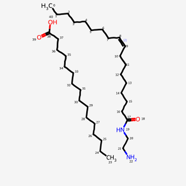 CCCCCCCC/C=C\CCCCCCCC(=O)NCCN.CCCCCCCCCCCCCCCC(=O)O